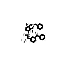 C[C@H](C(=O)N[C@H]1CC[C@H]2CN(Cc3ccccc3)C[C@H]21)c1cccc(C(=O)c2ccccc2)c1